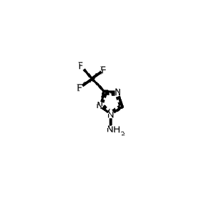 Nn1cnc(C(F)(F)F)n1